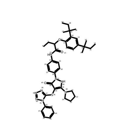 CCC(Oc1ccc(C(C)(C)CC)cc1C(C)(C)CC)C(=O)Nc1ccc(-n2[nH]c(N3CCCC3)c(Sc3nnnn3-c3ccccc3)c2=O)cc1